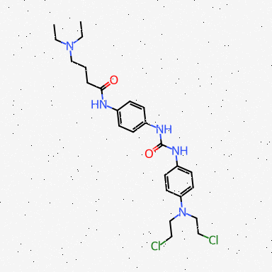 CCN(CC)CCCC(=O)Nc1ccc(NC(=O)Nc2ccc(N(CCCl)CCCl)cc2)cc1